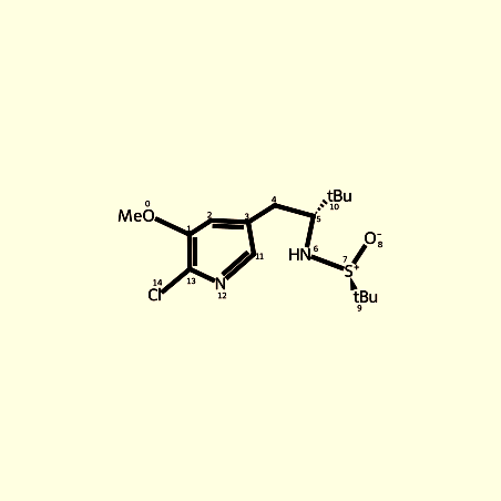 COc1cc(C[C@@H](N[S@@+]([O-])C(C)(C)C)C(C)(C)C)cnc1Cl